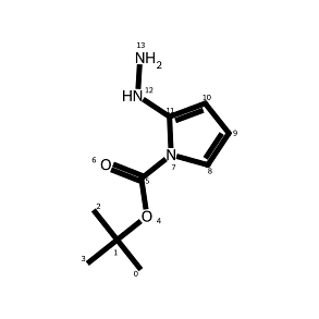 CC(C)(C)OC(=O)n1cccc1NN